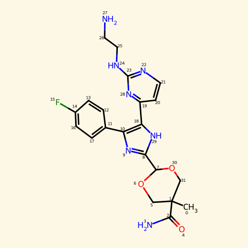 CC1(C(N)=O)COC(c2nc(-c3ccc(F)cc3)c(-c3ccnc(NCCN)n3)[nH]2)OC1